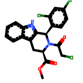 COC(=O)[C@H]1Cc2c([nH]c3ccccc23)[C@@H](c2ccc(Cl)cc2Cl)N1C(=O)CCl